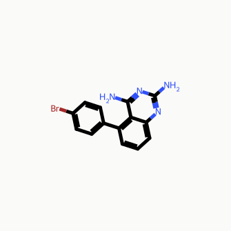 Nc1nc(N)c2c(-c3ccc(Br)cc3)cccc2n1